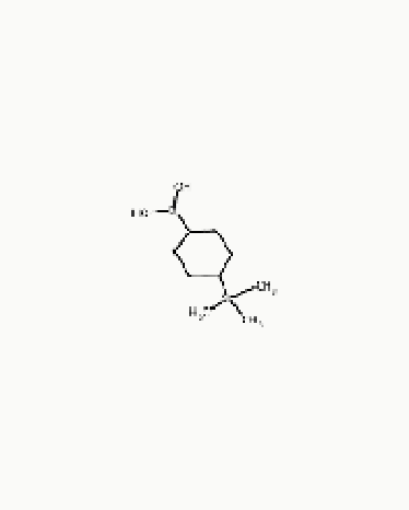 C[Si](C)(C)C1CCC(B(O)O)CC1